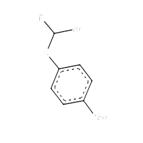 CC(C)(C)c1ccc(SC(F)Br)cc1